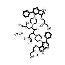 CC[C@H](C=N)CC(C(=O)C(C[C@@H](C=N)CC)N1CCN(c2c(-c3ccccc3)cnc3[nH]nc(OC[C@@H](O)CO)c23)CC1)N1CCN(c2c(-c3ccccc3)cnc3[nH]nc(OC[C@@H](O)CO)c23)CC1.Cl.Cl